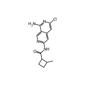 CC1CCC1C(=O)Nc1cc2cc(Cl)nc(N)c2cn1